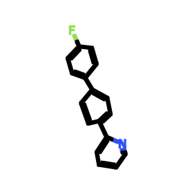 Fc1ccc(-c2ccc(-c3ccccn3)cc2)cc1